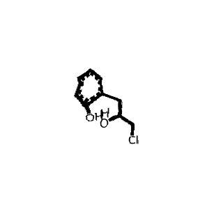 Oc1ccccc1CC(O)CCl